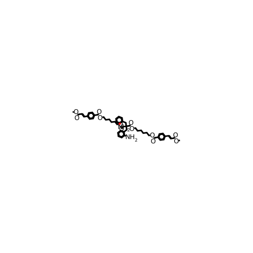 COC(=O)/C=C/c1ccc(C(=O)OCCCCCCOC(=O)C(Cc2ccccc2N)(Cc2ccccc2N)C(=O)OCCCCCCOC(=O)c2ccc(/C=C/C(=O)OC)cc2)cc1